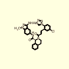 CC(=O)Nc1nn(C)c2ccc(NC(=O)[C@@H]3c4ccccc4CCN3C(=O)/C=C/c3cc(Cl)ccc3-n3cnnn3)cc12